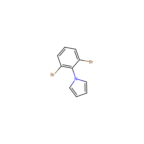 Brc1cccc(Br)c1-n1cccc1